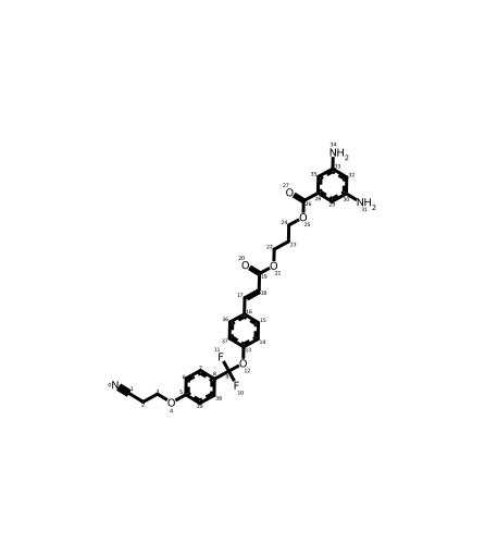 N#CCCOc1ccc(C(F)(F)Oc2ccc(C=CC(=O)OCCCOC(=O)c3cc(N)cc(N)c3)cc2)cc1